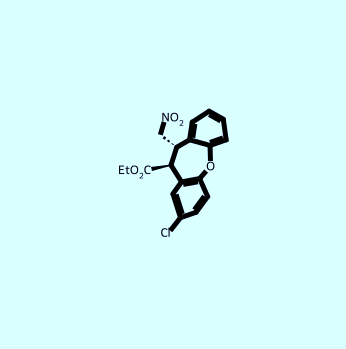 CCOC(=O)[C@@H]1c2cc(Cl)ccc2Oc2ccccc2[C@H]1C[N+](=O)[O-]